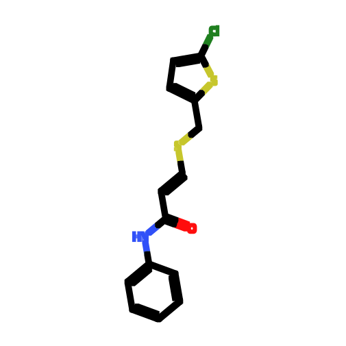 O=C(C=CSCc1ccc(Cl)s1)Nc1ccccc1